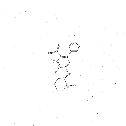 N[C@H]1CCCC[C@H]1Nc1nc(-c2ccsc2)c2c(c1F)CNC2=O